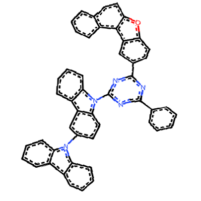 c1ccc(-c2nc(-c3ccc4oc5ccc6ccccc6c5c4c3)nc(-n3c4ccccc4c4cc(-n5c6ccccc6c6ccccc65)ccc43)n2)cc1